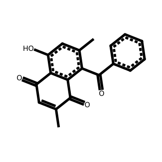 CC1=CC(=O)c2c(O)cc(C)c(C(=O)c3ccccc3)c2C1=O